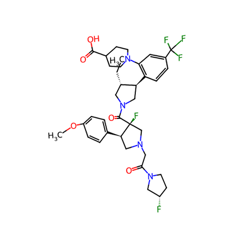 CC[C@H]1CN(C(=O)[C@]2(F)CN(CC(=O)N3CC[C@H](F)C3)C[C@H]2c2ccc(OC)cc2)C[C@@H]1c1ccc(C(F)(F)F)cc1N1CCC(C(=O)O)CC1